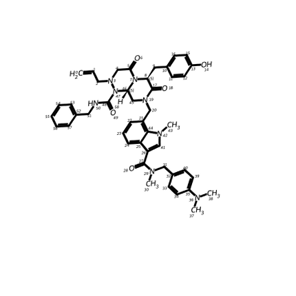 C=CCN1CC(=O)N2[C@@H](Cc3ccc(O)cc3)C(=O)N(Cc3cccc4c(C(=O)N(C)Cc5ccc(N(C)C)cc5)cn(C)c34)C[C@@H]2N1C(=O)NCc1ccccc1